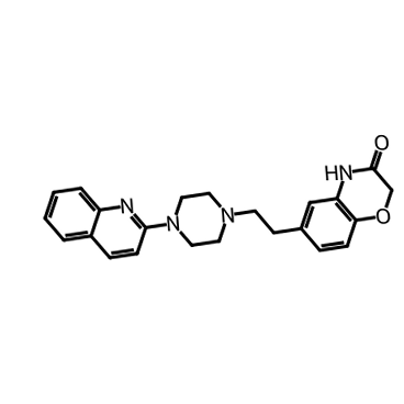 O=C1COc2ccc(CCN3CCN(c4ccc5ccccc5n4)CC3)cc2N1